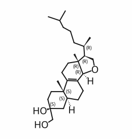 CC(C)CCC[C@@H](C)[C@H]1CO[C@H]2C3=C(CC[C@]12C)[C@@]1(C)CC[C@@](O)(CO)C[C@@H]1CC3